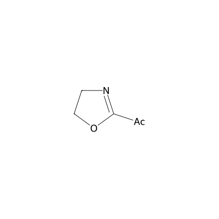 CC(=O)C1=NCCO1